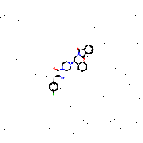 NC(Cc1ccc(Cl)cc1)C(=O)N1CCN(C(CN2C(=O)c3ccccc3C2=O)C2CCCCC2)CC1